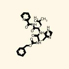 CC(C)C[C@H](NC(=O)[C@H](Cc1c[nH]cn1)NC(=O)OCc1ccccc1)C(=O)NC(=O)c1ccccn1